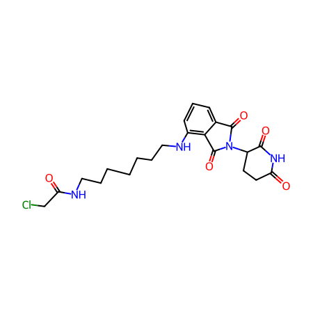 O=C(CCl)NCCCCCCCNc1cccc2c1C(=O)N(C1CCC(=O)NC1=O)C2=O